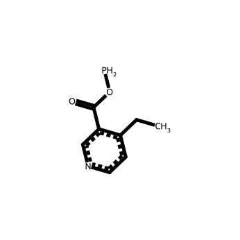 CCc1ccncc1C(=O)OP